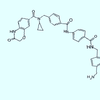 NCc1ccc(CNC(=O)c2ccc(NC(=O)c3ccc(CN(C(=O)c4ccc5c(c4)OCC(=O)N5)C4CC4)cc3)cc2)cc1